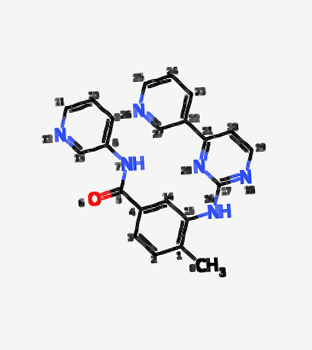 Cc1ccc(C(=O)Nc2cccnc2)cc1Nc1nccc(-c2cccnc2)n1